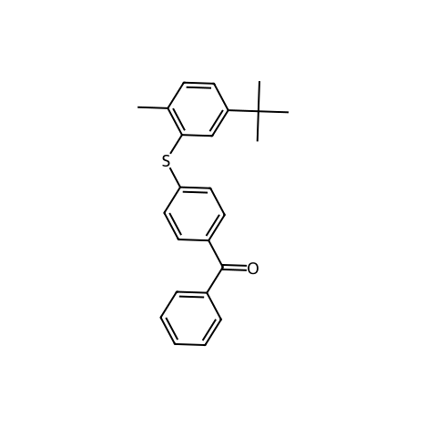 Cc1ccc(C(C)(C)C)cc1Sc1ccc(C(=O)c2ccccc2)cc1